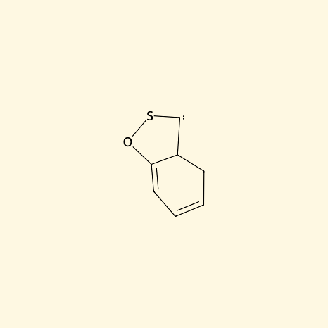 [C]1SOC2=CC=CCC12